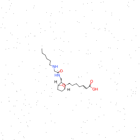 CCCCCCNCC(=O)NC[C@H]1[C@@H](CCCC/C=C/C(=O)O)[C@H]2CC[C@@H]1O2